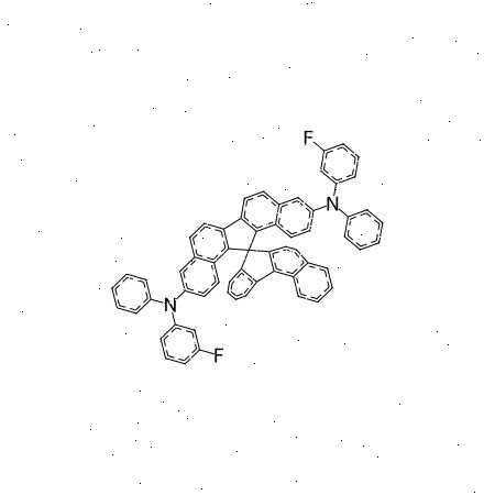 Fc1cccc(N(c2ccccc2)c2ccc3c4c(ccc3c2)-c2ccc3cc(N(c5ccccc5)c5cccc(F)c5)ccc3c2C42c3ccccc3-c3c2ccc2ccccc32)c1